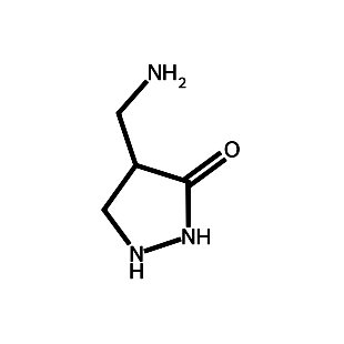 NCC1CNNC1=O